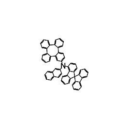 c1ccc2c(c1)-c1ccccc1-c1ccc(N(c3ccc4ccccc4c3)c3cccc4c3-c3ccccc3C43c4ccccc4-c4ccccc43)cc1-c1ccccc1-2